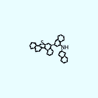 c1ccc2cc(Nc3cc(-c4cc5sc6c7ccccc7ccc6c5c5ccccc45)cc4ccccc34)ccc2c1